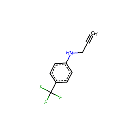 C#CCNc1ccc(C(F)(F)F)cc1